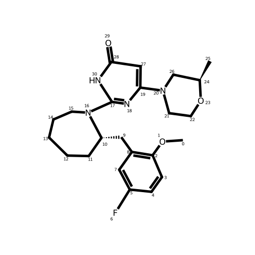 COc1ccc(F)cc1C[C@@H]1CCCCCN1c1nc(N2CCO[C@H](C)C2)cc(=O)[nH]1